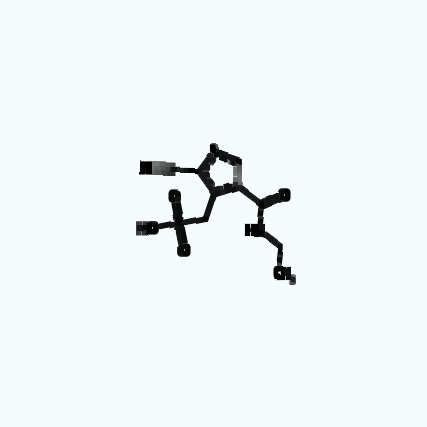 CCNC(=O)c1csc(C#N)c1CS(=O)(=O)O